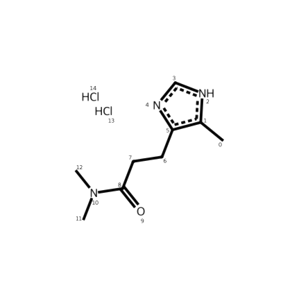 Cc1[nH]cnc1CCC(=O)N(C)C.Cl.Cl